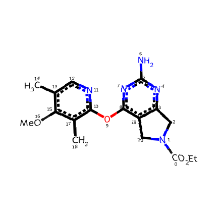 CCOC(=O)N1Cc2nc(N)nc(Oc3ncc(C)c(OC)c3C)c2C1